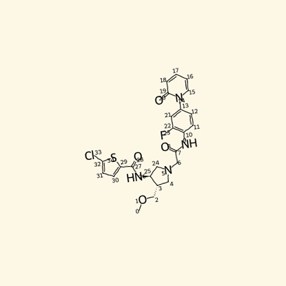 COC[C@H]1CN(CC(=O)Nc2ccc(-n3ccccc3=O)cc2F)C[C@@H]1NC(=O)c1ccc(Cl)s1